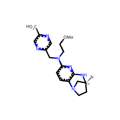 COCCN(Cc1cnc(C(=O)O)cn1)c1ccc2c(n1)N[C@H]1CCN2C1